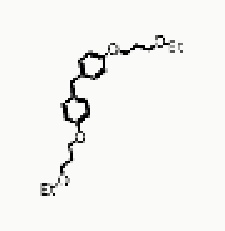 CCOCCCOc1ccc(Cc2ccc(OCCCOCC)cc2)cc1